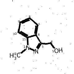 Cn1nc(CO)c2cc[c]cc21